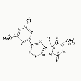 COc1cc(Cl)cc(-c2cccc(C3(C)CNCC(N)O3)c2)c1